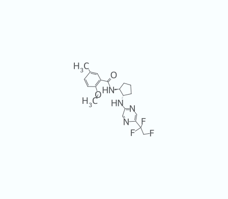 COc1ccc(C)cc1C(=O)N[C@H]1CCC[C@@H]1Nc1cnc(C(F)(F)CF)cn1